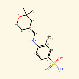 CC1(C)C[C@@H](CNc2ccc(S(N)(=O)=O)cc2[N+](=O)[O-])CCO1